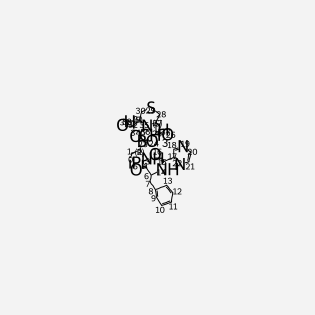 CC(C)C[C@H](NC(=O)C(Cc1ccccc1)NC(=O)c1cnccn1)B1OC(=O)[C@H]2CSC[C@H](C(=O)O1)N2C